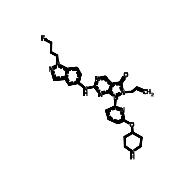 C=CCn1c(=O)c2cnc(Nc3ccc4c(cnn4CCCF)c3)nc2n1-c1cccc(OC2CCNCC2)n1